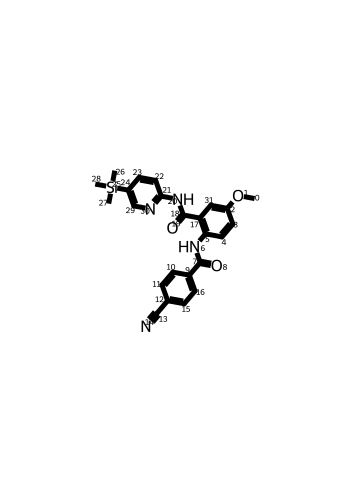 COc1ccc(NC(=O)c2ccc(C#N)cc2)c(C(=O)Nc2ccc([Si](C)(C)C)cn2)c1